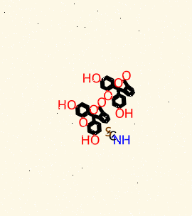 N=C=S.O=C1OC2(c3ccc(O)cc3Oc3cc(O)ccc32)c2ccccc21.O=C1OC2(c3ccc(O)cc3Oc3cc(O)ccc32)c2ccccc21